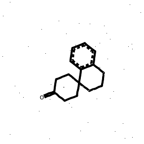 O=C1CCC2(CCCc3ccccc32)CC1